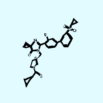 O=C(C1CC1)N1CC[C@@H](CN2C(=O)C3(CC3)N=C2c2ccc(-c3cccc(S(=O)(=O)C4CC4)c3)cc2F)C1